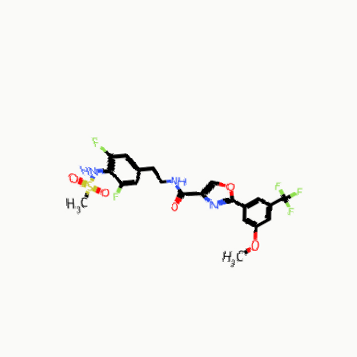 COc1cc(-c2nc(C(=O)NCCc3cc(F)c(NS(C)(=O)=O)c(F)c3)co2)cc(C(F)(F)F)c1